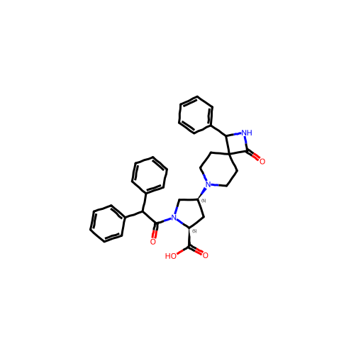 O=C(O)[C@@H]1C[C@H](N2CCC3(CC2)C(=O)NC3c2ccccc2)CN1C(=O)C(c1ccccc1)c1ccccc1